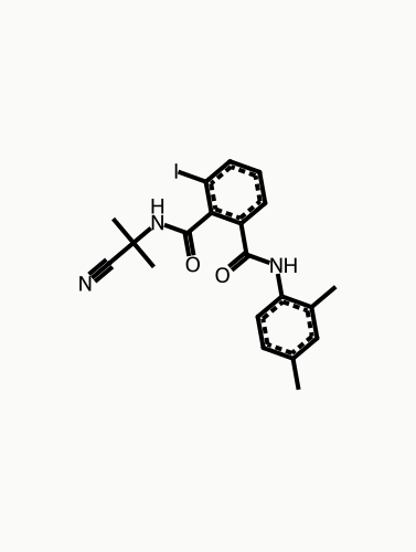 Cc1ccc(NC(=O)c2cccc(I)c2C(=O)NC(C)(C)C#N)c(C)c1